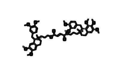 COc1ccc(CC2c3cc(OC)c(OC)cc3CC[N+]2(C)CCCOC(=O)/C=C/C(=O)OCCC[N+]2(C)CCc3cc(OC)c(OC)c(OC)c3C2Cc2ccc(OC)c(OC)c2)cc1OC